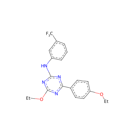 CCOc1ccc(-c2nc(Nc3cccc(C(F)(F)F)c3)nc(OCC)n2)cc1